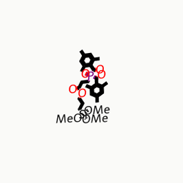 CO[Si](CCCOC(=O)CCP(=O)(C(=O)c1c(C)cc(C)cc1C)C(=O)c1c(C)cc(C)cc1C)(OC)OC